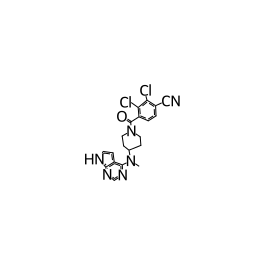 CN(c1ncnc2[nH]ccc12)C1CCN(C(=O)c2ccc(C#N)c(Cl)c2Cl)CC1